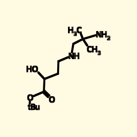 CC(C)(N)CNCCC(O)C(=O)OC(C)(C)C